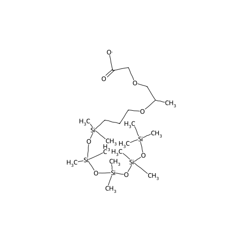 CC(COCC([O])=O)OCCC[Si](C)(C)O[Si](C)(C)O[Si](C)(C)O[Si](C)(C)O[Si](C)(C)C